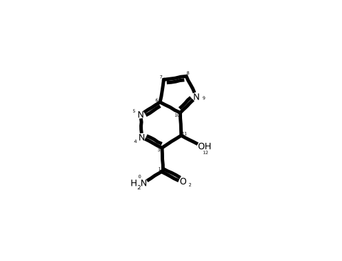 NC(=O)C1=NN=C2C=CN=C2C1O